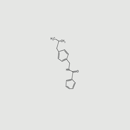 CC(C)Cc1ccc(CNC(=O)c2ccccc2)cc1